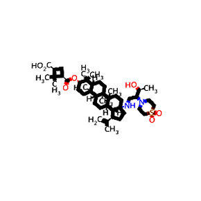 C=C(C)[C@@H]1CC[C@]2(NCC([C@@H](C)O)N3CCS(=O)(=O)CC3)CC[C@]3(C)[C@H](CC[C@@H]4[C@@]5(C)CC[C@H](OC(=O)[C@H]6C[C@@H](C(=O)O)C6(C)C)C(C)(C)[C@@H]5CC[C@]43C)[C@@H]12